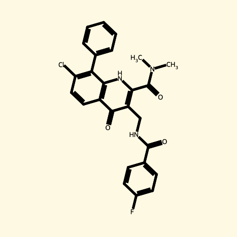 CN(C)C(=O)c1[nH]c2c(-c3ccccc3)c(Cl)ccc2c(=O)c1CNC(=O)c1ccc(F)cc1